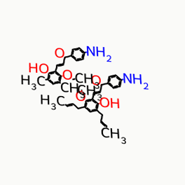 CC=CCc1cc(CC=CC)c(OC)c(C=CC(=O)c2ccc(N)cc2)c1O.CCOc1c(C)cc(C)c(O)c1C=CC(=O)c1ccc(N)cc1